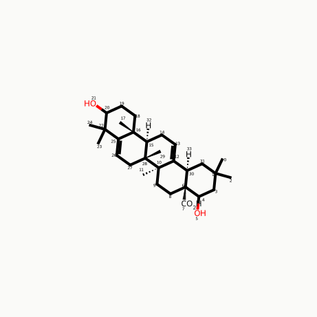 CC1(C)CC(O)[C@]2(C(=O)O)CC[C@]3(C)C(=CC[C@@H]4[C@@]5(C)CCC(O)C(C)(C)C5=CC[C@]43C)[C@H]2C1